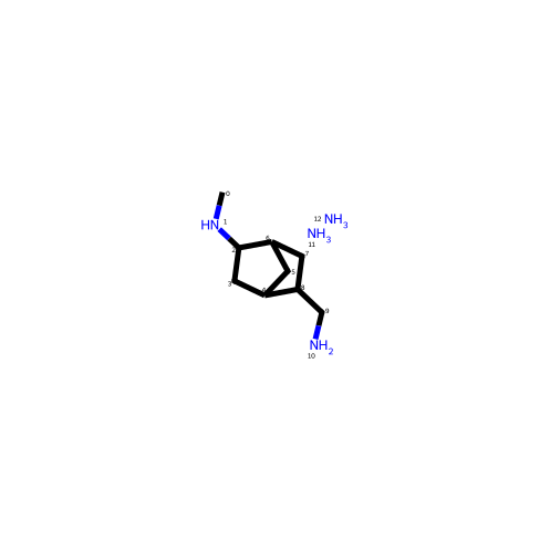 CNC1CC2CC1CC2CN.N.N